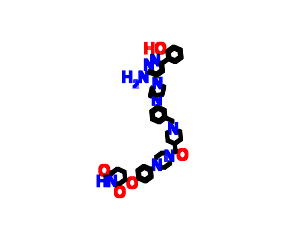 Nc1nnc(-c2ccccc2O)cc1N1CC2CC1=CN2c1cccc(CN2CCC(C(=O)N3CCN(c4ccc(OC5CCC(=O)NC5=O)cc4)CC3)CC2)c1